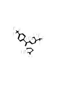 O=C1CC[C@H](/C=C(/c2ccc(C(F)(F)F)cc2)c2ccc(C(F)(F)F)c(=O)[nH]2)N1